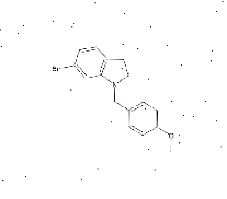 COc1ccc(CN2CCc3ccc(Br)cc32)cc1